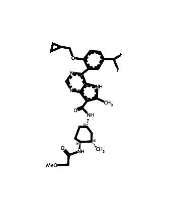 COCC(=O)N[C@H]1CC[C@H](NC(=O)c2c(C)[nH]c3c(-c4cc(C(F)F)ccc4OCC4CC4)ncnc23)C[C@@H]1C